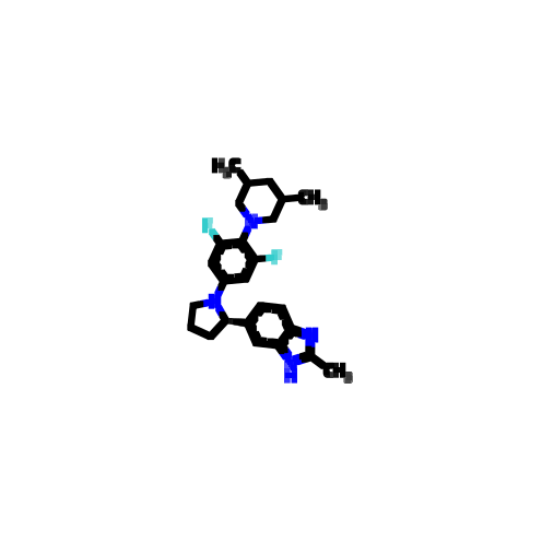 Cc1nc2ccc([C@H]3CCCN3c3cc(F)c(N4CC(C)CC(C)C4)c(F)c3)cc2[nH]1